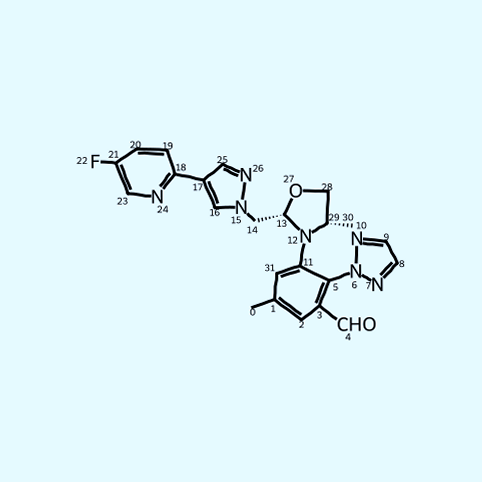 Cc1cc(C=O)c(-n2nccn2)c(N2[C@H](Cn3cc(-c4ccc(F)cn4)cn3)OC[C@@H]2C)c1